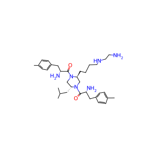 Cc1ccc(C[C@@H](N)C(=O)N2C[C@H](CCCCNCCN)N(C(=O)[C@H](N)Cc3ccc(C)cc3)C[C@H]2CC(C)C)cc1